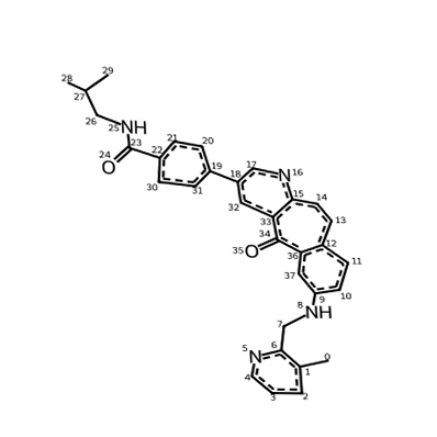 Cc1cccnc1CNc1ccc2ccc3ncc(-c4ccc(C(=O)NCC(C)C)cc4)cc3c(=O)c2c1